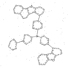 c1ccc(-c2ccc(N(c3ccc(-c4cccc5oc6ccccc6c45)cc3)c3ccc(-c4cccc5sc6c7ccccc7ccc6c45)cc3)cc2)cc1